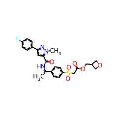 C[C@@H](NC(=O)c1cc(-c2ccc(F)cc2)nn1C)c1ccc(S(=O)(=O)CC(=O)OCC2COC2)cc1